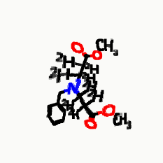 [2H]C([2H])(C(=O)OC)C([2H])([2H])N(Cc1ccccc1)C([2H])([2H])C([2H])([2H])C(=O)OC